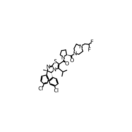 CC(C)C1=C(C(=O)N2CCC[C@H]2C(=O)N2CCN(CC(F)F)CC2)SC2=N[C@@](C)(c3ccc(Cl)cc3)[C@@H](c3ccc(Cl)cc3)N21